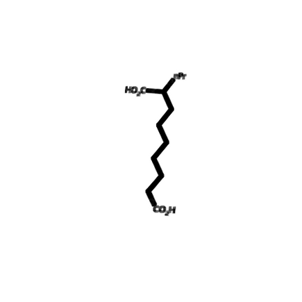 CCCC(CCCCCCC(=O)O)C(=O)O